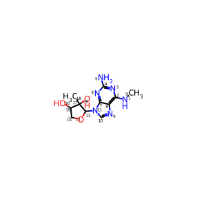 CNc1nc(N)nc2c1ncn2C1O[CH]C(O)C1(C)O